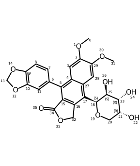 COc1cc2c(-c3ccc4c(c3)OCO4)c3c(c([C@@H]4OC[C@@H](O)[C@@H](O)[C@@H]4O)c2cc1OC)COC3=O